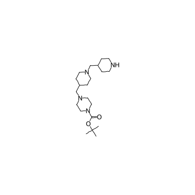 CC(C)(C)OC(=O)N1CCN(CC2CCN(CC3CCNCC3)CC2)CC1